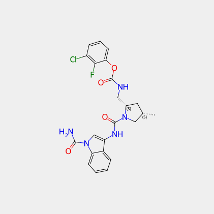 C[C@H]1C[C@@H](CNC(=O)Oc2cccc(Cl)c2F)N(C(=O)Nc2cn(C(N)=O)c3ccccc23)C1